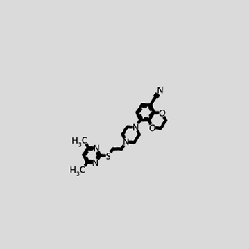 Cc1cc(C)nc(SCCN2CCN(c3ccc(C#N)c4c3OCCO4)CC2)n1